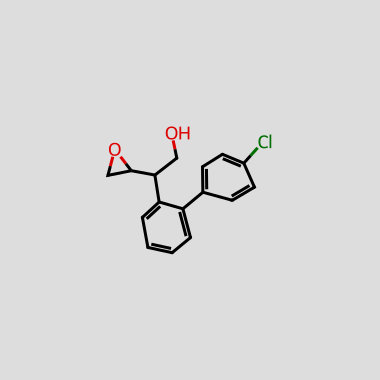 OCC(c1ccccc1-c1ccc(Cl)cc1)C1CO1